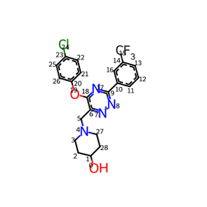 OC1CCN(Cc2nnc(-c3cccc(C(F)(F)F)c3)nc2Oc2ccc(Cl)cc2)CC1